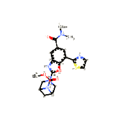 CON(C)C(=O)c1cc(-c2nccs2)c2oc(N3CC4CC(C3)N4C(=O)OC(C)(C)C)nc2c1